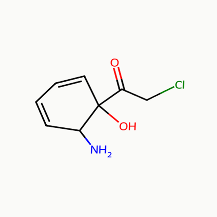 NC1C=CC=CC1(O)C(=O)CCl